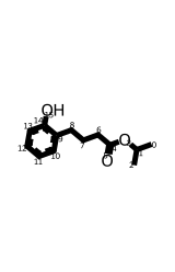 CC(C)OC(=O)CCCc1ccccc1O